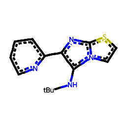 CC(C)(C)Nc1c(-c2ccccn2)nc2sccn12